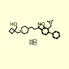 CN(C)Cc1c(-c2ccccc2)ccc2c(CCC3CCN(CC4(CO)CCC4)CC3)noc12.Cl.Cl